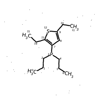 CCCP(CCC)c1cc(CC)sc1CC